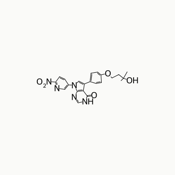 CC(C)(O)CCOc1ccc(-c2cn(-c3ccc([N+](=O)[O-])nc3)c3nc[nH]c(=O)c23)cc1